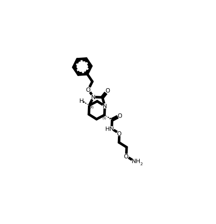 NOCCONC(=O)[C@@H]1CC[C@@H]2CN1C(=O)N2OCc1ccccc1